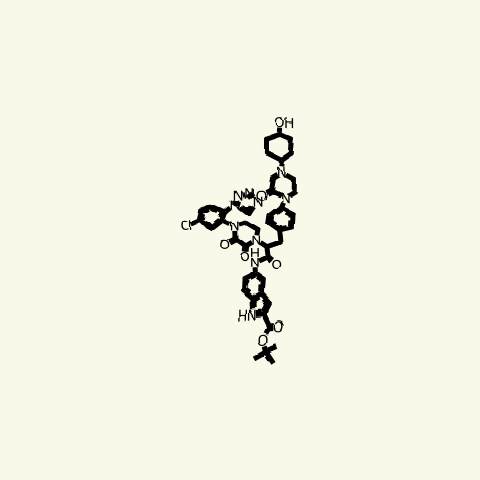 CC(C)(C)OC(=O)c1cc2cc(NC(=O)C(Cc3ccc(N4CCN(C5CCC(O)CC5)CC4=O)cc3)N3CCN(c4cc(Cl)ccc4-n4cnnn4)C(=O)C3=O)ccc2[nH]1